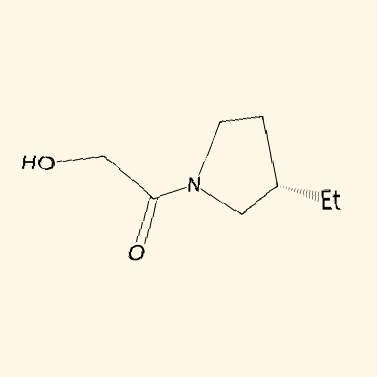 CC[C@H]1CCN(C(=O)CO)C1